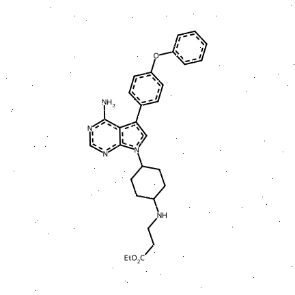 CCOC(=O)CCNC1CCC(n2cc(-c3ccc(Oc4ccccc4)cc3)c3c(N)ncnc32)CC1